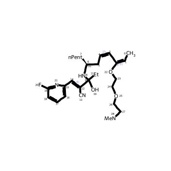 C/C=C(\C=C/C[C@H](CCCCC)NC(O)(CC)/C(C#N)=C/c1cccc(F)n1)OCCOCCNC